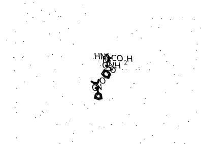 Cc1oc(-c2ccccc2)nc1COc1ccc(S(=O)(=O)Nc2n[nH]cc2C(=O)O)cc1